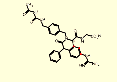 N=C(N)NCCC[C@H](C(=O)NCC(=O)O)N(Cc1ccc(CNC(=O)NC(N)=O)cc1)C(=O)C(c1ccccc1)c1ccccc1